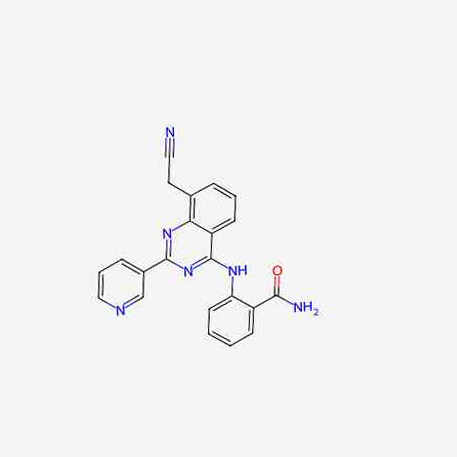 N#CCc1cccc2c(Nc3ccccc3C(N)=O)nc(-c3cccnc3)nc12